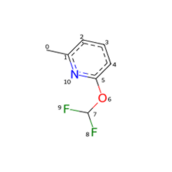 Cc1[c]ccc(OC(F)F)n1